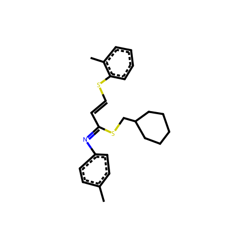 Cc1ccc(N=C(C=CSc2ccccc2C)SCC2CCCCC2)cc1